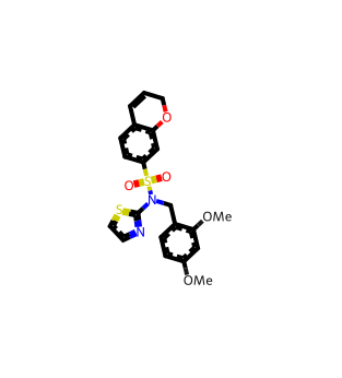 COc1ccc(CN(c2nccs2)S(=O)(=O)c2ccc3c(c2)OCC=C3)c(OC)c1